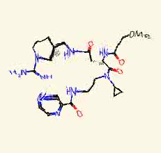 COCC(=O)N[C@@H](CC(=O)NC[C@@H]1CCCN(C(=N)N)C1)C(=O)N(CCNC(=O)c1cnccn1)C1CC1